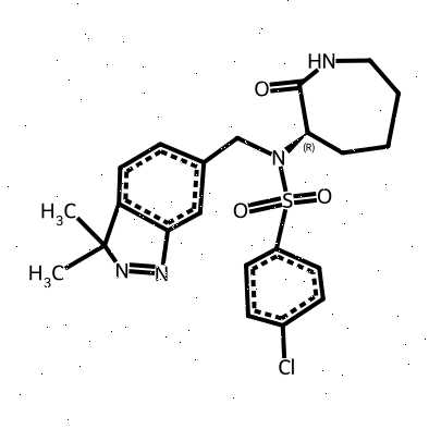 CC1(C)N=Nc2cc(CN([C@@H]3CCCCNC3=O)S(=O)(=O)c3ccc(Cl)cc3)ccc21